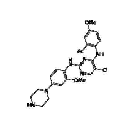 COc1ccc(Nc2nc(Nc3ccc(N4CCNCC4)cc3OC)ncc2Cl)c(C(C)=O)c1